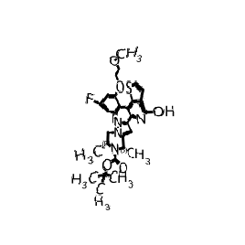 COCCOc1cc(F)cc(F)c1-c1c(-c2cc3n(n2)C[C@@H](C)N(C(=O)OC(C)(C)C)[C@H]3C)nc(O)c2ccsc12